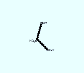 CCCCCCCCCCCCCCCCCCCCCCCCC(CCCCCCCCCCCCCCCCCCCCCC)C(=O)O